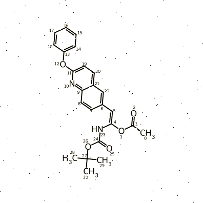 CC(=O)O/C(=C/c1ccc2nc(Oc3ccccc3)ccc2c1)NC(=O)OC(C)(C)C